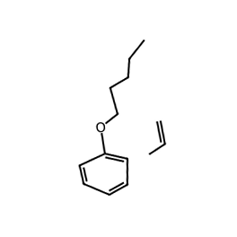 C=CC.CCCCCOc1ccccc1